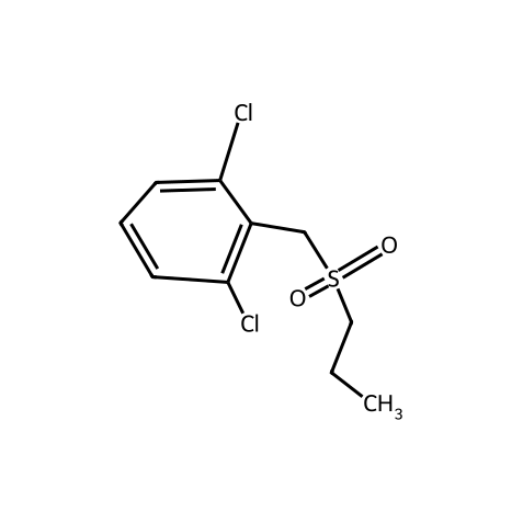 CCCS(=O)(=O)Cc1c(Cl)cccc1Cl